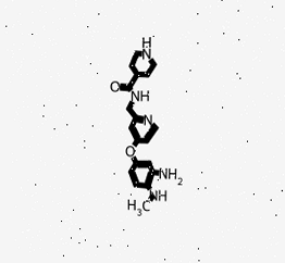 CNc1ccc(Oc2ccnc(CNC(=O)C3CCNCC3)c2)cc1N